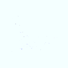 O=C1CC(=Cc2cnn3c(NC4CC4)cc(NCC4CCCO4)nc23)C(=O)N1